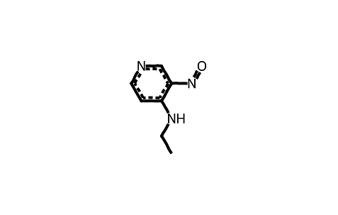 CCNc1ccncc1N=O